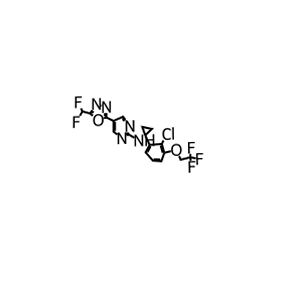 FC(F)c1nnc(-c2cnc(NC3(c4cccc(OCC(F)(F)F)c4Cl)CC3)nc2)o1